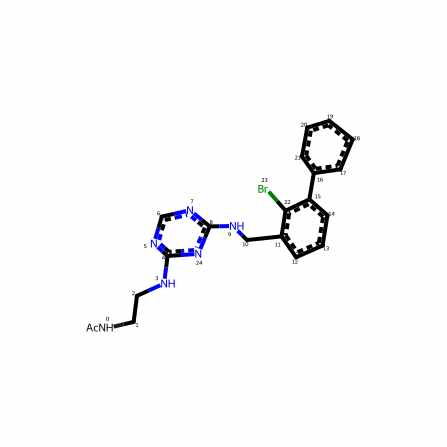 CC(=O)NCCNc1ncnc(NCc2cccc(-c3ccccc3)c2Br)n1